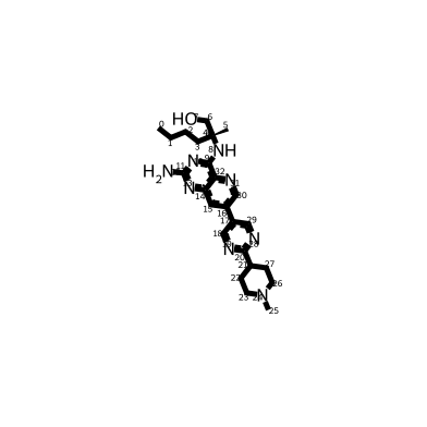 CCCC[C@](C)(CO)Nc1nc(N)nc2cc(-c3cnc(C4CCN(C)CC4)nc3)cnc12